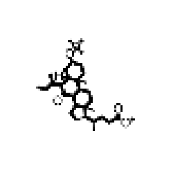 CC/C(C)=C1\C(=O)C2C3CC[C@H]([C@H](C)CCC(=O)OC)[C@@]3(C)CCC2[C@@]2(C)CCC(O[Si](C)(C)C)C[C@@H]12